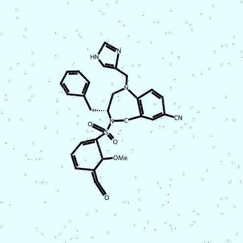 COC1C(=C=O)C=CC=C1S(=O)(=O)N1Cc2cc(C#N)ccc2N(Cc2c[nH]cn2)C[C@H]1Cc1ccccc1